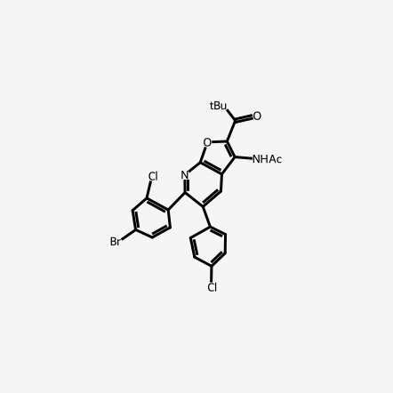 CC(=O)Nc1c(C(=O)C(C)(C)C)oc2nc(-c3ccc(Br)cc3Cl)c(-c3ccc(Cl)cc3)cc12